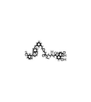 CCN(CCNC[C@H](O)c1ccc(O)c2[nH]c(=O)ccc12)C(=O)CCOCCc1cccc(CN2CCC3(CC2)CN(c2cc(OC)ccn2)CCO3)c1